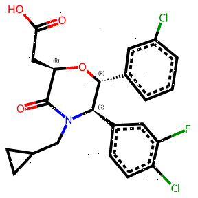 O=C(O)C[C@H]1O[C@H](c2cccc(Cl)c2)[C@@H](c2ccc(Cl)c(F)c2)N(CC2CC2)C1=O